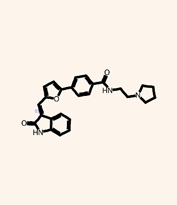 O=C1Nc2ccccc2/C1=C\c1ccc(-c2ccc(C(=O)NCCN3CCCC3)cc2)o1